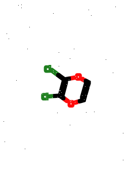 ClC1=C(Cl)OC=CO1